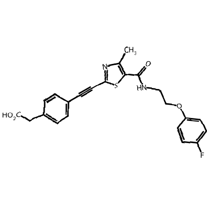 Cc1nc(C#Cc2ccc(CC(=O)O)cc2)sc1C(=O)NCCOc1ccc(F)cc1